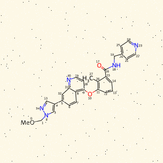 COCn1cc(-c2ccc3c(Oc4cccc(C(=O)NCc5ccncc5)c4C)ccnc3c2)cn1